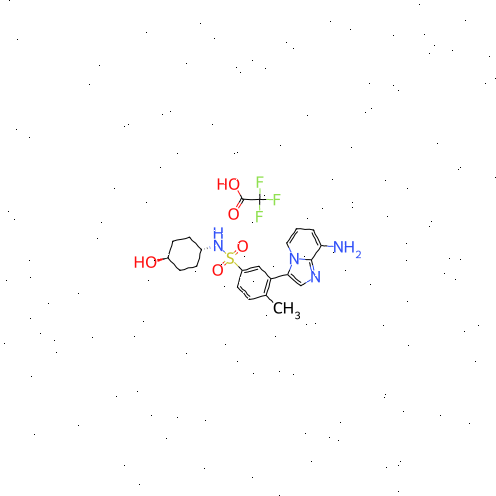 Cc1ccc(S(=O)(=O)N[C@H]2CC[C@H](O)CC2)cc1-c1cnc2c(N)cccn12.O=C(O)C(F)(F)F